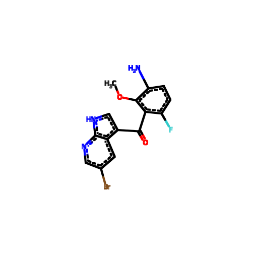 COc1c(N)ccc(F)c1C(=O)c1c[nH]c2ncc(Br)cc12